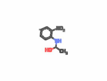 CC(O)Nc1cc[c]cc1[N+](=O)[O-]